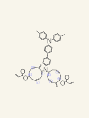 C=CC(=O)O/C1=C/C=C\C(=C)/C(N(/C2=C/C=C\C(=C)/C(OC(=O)C=C)=C\C=C/C2)c2ccc(-c3ccc(N(c4ccc(C)cc4)c4ccc(C)cc4)cc3)cc2)=C\C=C/C1